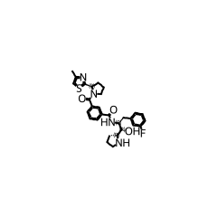 Cc1csc([C@H]2CCCN2C(=O)c2cccc(C(=O)N[C@@H](Cc3cccc(F)c3)[C@H](O)[C@H]3CCCN3)c2)n1